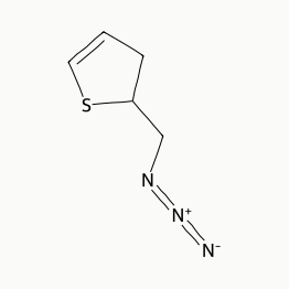 [N-]=[N+]=NCC1CC=CS1